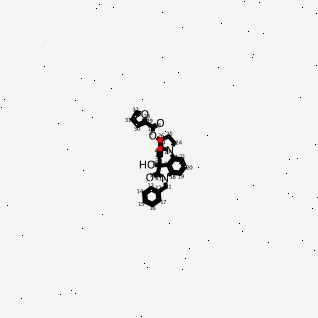 O=C(OCC#CC1(O)C(=O)N(Cc2ccccc2)c2cccc(N3CCCC3)c21)c1ccco1